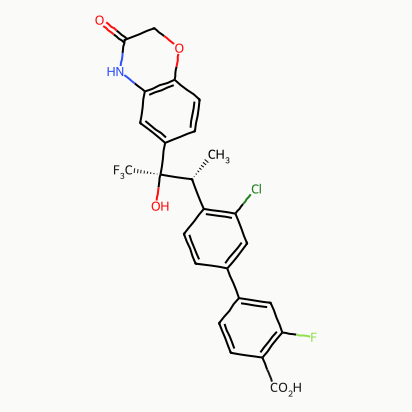 C[C@H](c1ccc(-c2ccc(C(=O)O)c(F)c2)cc1Cl)[C@@](O)(c1ccc2c(c1)NC(=O)CO2)C(F)(F)F